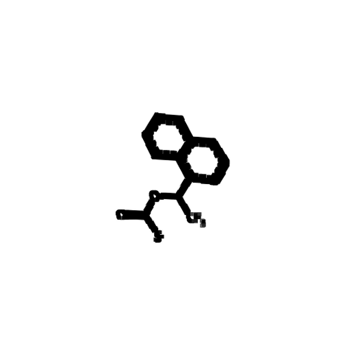 O=C([S])OC(c1cccc2ccccc12)C(F)(F)F